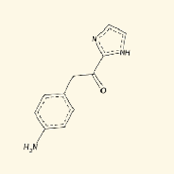 Nc1ccc(CC(=O)c2ncc[nH]2)cc1